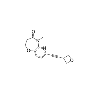 CN1C(=O)CCOc2ccc(C#CC3COC3)nc21